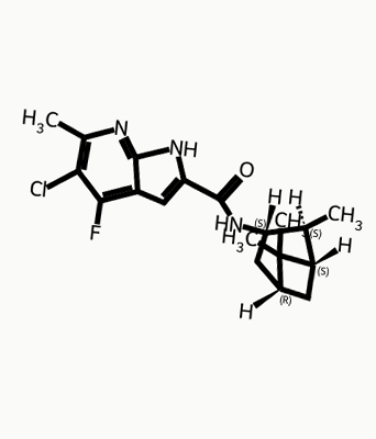 Cc1nc2[nH]c(C(=O)N[C@H]3C[C@H]4C[C@@H]([C@@H]3C)C4(C)C)cc2c(F)c1Cl